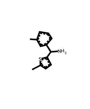 Cc1cccc(C(N)c2ccc(C)s2)c1